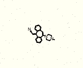 CN1CCN(C2=Cc3ccccc3C(=CC#N)c3ccccc32)CC1